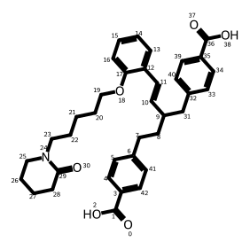 O=C(O)c1ccc(CCC(C=Cc2ccccc2OCCCCCN2CCCCC2=O)Cc2ccc(C(=O)O)cc2)cc1